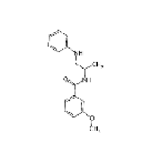 COc1cccc(C(=O)NC(C)CNc2ccccc2)c1